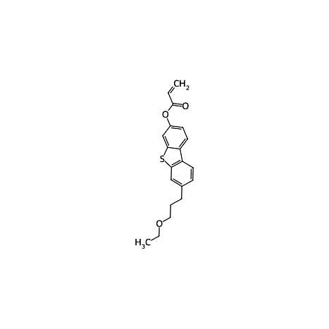 C=CC(=O)Oc1ccc2c(c1)sc1cc(CCCOCC)ccc12